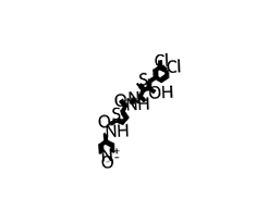 C/C(=N\NC(=O)c1ccc(C(=O)NCc2cc[n+]([O-])cc2)s1)c1csc(-c2ccc(Cl)c(Cl)c2)c1O